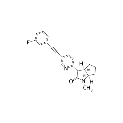 CN1C(=O)C(c2ccc(C#Cc3cccc(F)c3)cn2)[C@H]2CCC[C@H]21